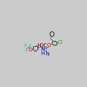 CC(C#N)(COc1ccc(Cl)cc1Cc1ccccc1)NC(=O)c1ccc(OC(F)(F)F)cc1